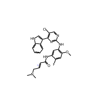 COc1cc(F)c(NC(=O)/C=C/CN(C)C)cc1Nc1ncc(Cl)c(-c2c[nH]c3ccccc23)n1